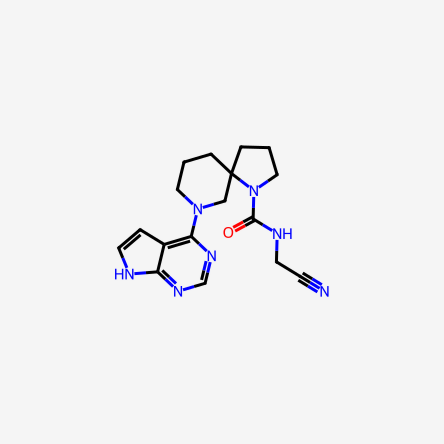 N#CCNC(=O)N1CCCC12CCCN(c1ncnc3[nH]ccc13)C2